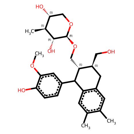 COc1cc(C2c3cc(C)c(C)cc3C[C@H](CO)[C@H]2CO[C@@H]2OC[C@@H](O)[C@H](C)[C@H]2O)ccc1O